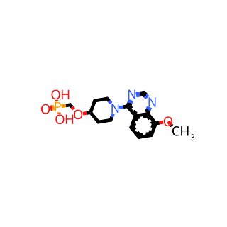 COc1cccc2c(N3CCC(OCP(=O)(O)O)CC3)ncnc12